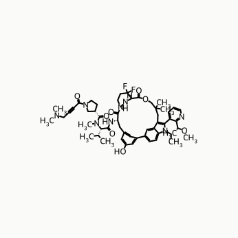 CCn1c(-c2cccnc2[C@H](C)OC)c2c3cc(ccc31)-c1cc(O)cc(c1)C[C@H](NC(=O)[C@H](C(C)C)N(C)C(=O)[C@H]1CCN(C(=O)C#CCN(C)C)C1)C(=O)N1CCC(F)(F)[C@H](N1)C(=O)OCC(C)(C)C2